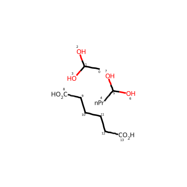 CC(O)O.CCCC(O)O.O=C(O)CCCCC(=O)O